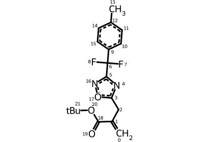 C=C(Cc1nc(C(F)(F)c2ccc(C)cc2)no1)C(=O)OC(C)(C)C